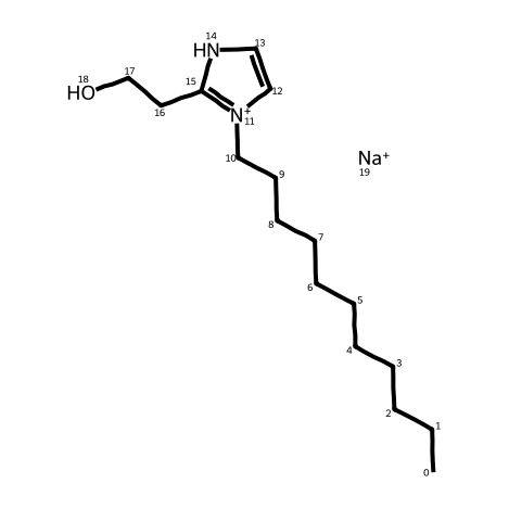 CCCCCCCCCCC[n+]1cc[nH]c1CCO.[Na+]